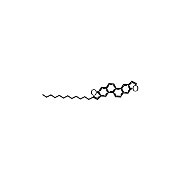 CCCCCCCCCCCCc1cc2cc3c(ccc4c5cc6ccoc6cc5ccc34)cc2o1